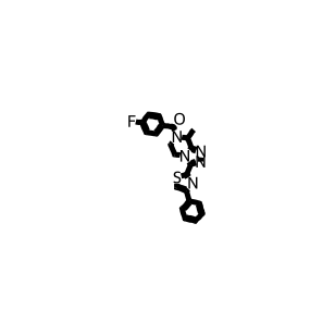 CC1c2nnc(-c3nc(-c4ccccc4)cs3)n2CCN1C(=O)c1ccc(F)cc1